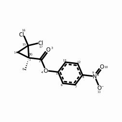 C[C@]1(C(=O)Oc2ccc([N+](=O)[O-])cc2)CC1(Cl)Cl